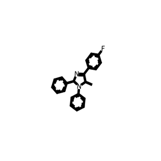 CC1C(c2ccc(F)cc2)=NC(c2ccccc2)N1c1ccccc1